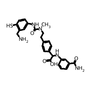 CN(CCc1ccc(C(Nc2cccc(C(N)=O)c2)C(=O)O)cc1)C(=O)Nc1ccc(S)c(CN)c1